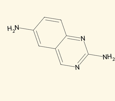 Nc1ccc2nc(N)ncc2c1